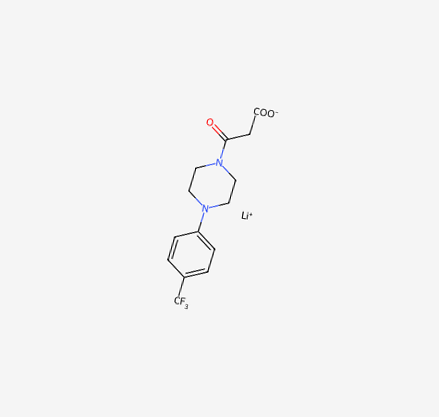 O=C([O-])CC(=O)N1CCN(c2ccc(C(F)(F)F)cc2)CC1.[Li+]